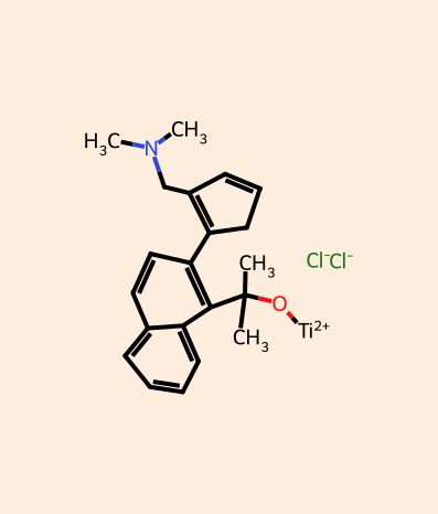 CN(C)CC1=C(c2ccc3ccccc3c2C(C)(C)[O][Ti+2])CC=C1.[Cl-].[Cl-]